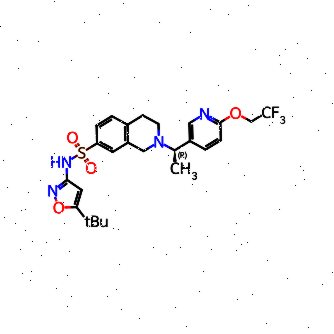 C[C@H](c1ccc(OCC(F)(F)F)nc1)N1CCc2ccc(S(=O)(=O)Nc3cc(C(C)(C)C)on3)cc2C1